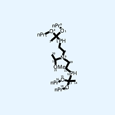 CCCOC(C)(OCCC)PCCN(CCPC(C)(OCCC)OCCC)C(C)OC